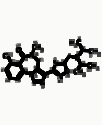 CC(C)N(Cc1nc(-c2ncn3c2CN(C)C(=O)c2c(Cl)cccc2-3)no1)C(C)C